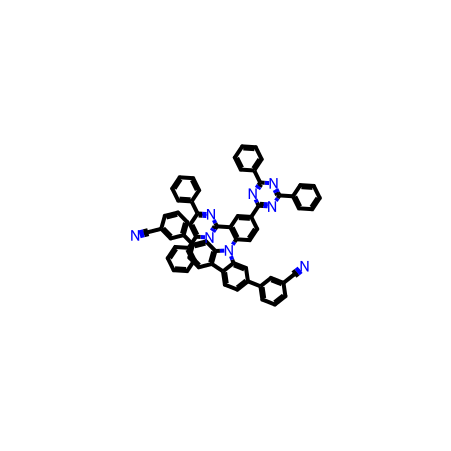 N#Cc1cccc(-c2ccc3c4ccc(-c5cccc(C#N)c5)cc4n(-c4ccc(-c5nc(-c6ccccc6)nc(-c6ccccc6)n5)cc4-c4nc(-c5ccccc5)cc(-c5ccccc5)n4)c3c2)c1